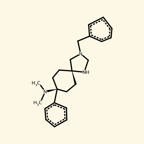 CN(C)[C@]1(c2ccccc2)CC[C@@]2(CC1)CN(Cc1ccccc1)CN2